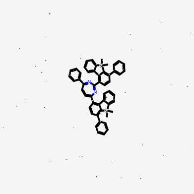 C[Si]1(C)c2ccccc2-c2c(C3=C=CC(c4ccccc4)=NC(c4ccc(-c5ccccc5)c5c4-c4ccccc4[Si]5(C)C)=N3)ccc(-c3ccccc3)c21